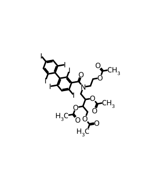 CC(=O)OCCN(CC(OC(C)=O)C(COC(C)=O)OC(C)=O)C(=O)c1c(I)cc(I)c(-c2c(I)cc(I)cc2I)c1I